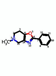 CN1CCc2oc(-c3ccccc3)nc2C1